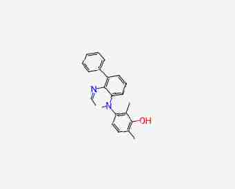 C/C=N\c1c(-c2ccccc2)cccc1N(C)c1ccc(C)c(O)c1C